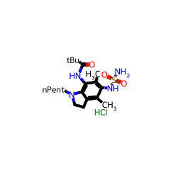 CCCCCN1CCc2c(C)c(NS(N)(=O)=O)c(C)c(NC(=O)C(C)(C)C)c21.Cl